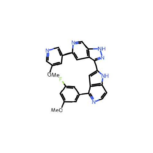 COc1cncc(-c2cc3c(-c4cc5c(-c6cc(F)cc(OC)c6)nccc5[nH]4)n[nH]c3cn2)c1